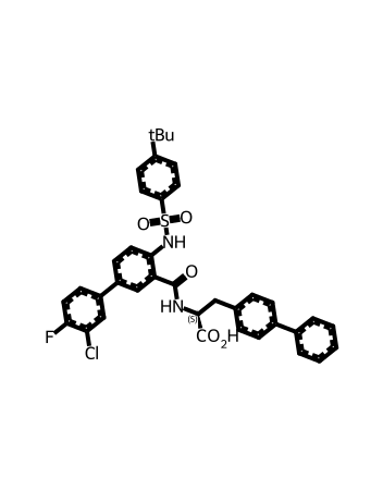 CC(C)(C)c1ccc(S(=O)(=O)Nc2ccc(-c3ccc(F)c(Cl)c3)cc2C(=O)N[C@@H](Cc2ccc(-c3ccccc3)cc2)C(=O)O)cc1